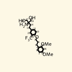 COc1ccc(CCCOc2ccc(CCC(N)(CO)CO)cc2C(F)(F)F)c(OC)c1